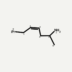 CC(C)C/C=C\CC(C)N